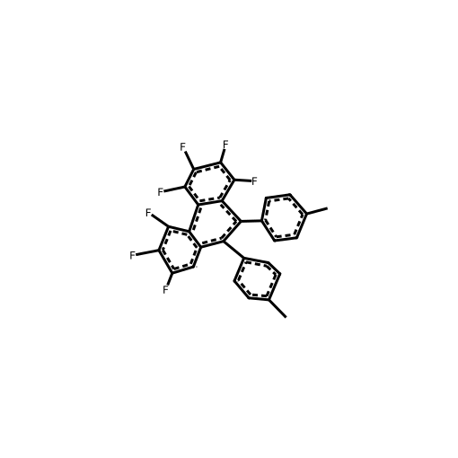 Cc1ccc(-c2c(-c3ccc(C)cc3)c3c(F)c(F)c(F)c(F)c3c3c(F)c(F)c(F)[c]c23)cc1